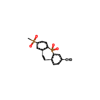 CS(=O)(=O)c1ccc2c(c1)C=Cc1ccc(C=O)cc1S2(=O)=O